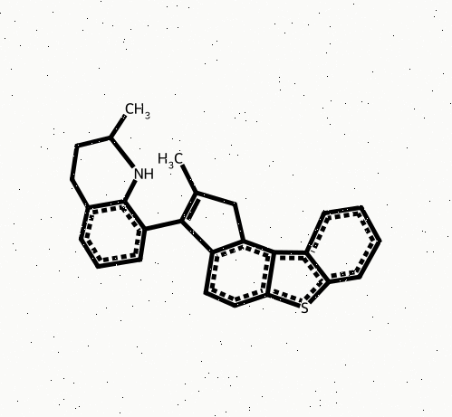 CC1=C(c2cccc3c2NC(C)CC3)c2ccc3sc4ccccc4c3c2C1